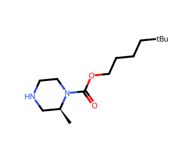 C[C@H]1CNCCN1C(=O)OCCCCC(C)(C)C